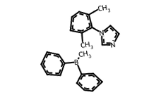 CB(c1ccccc1)c1ccccc1.Cc1cccc(C)c1-n1ccnc1